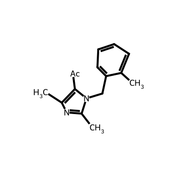 CC(=O)c1c(C)nc(C)n1Cc1ccccc1C